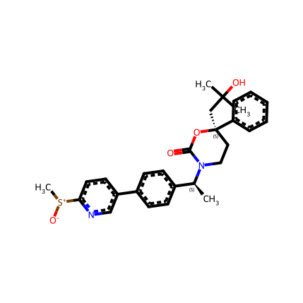 C[C@@H](c1ccc(-c2ccc([S+](C)[O-])nc2)cc1)N1CC[C@](CC(C)(C)O)(c2ccccc2)OC1=O